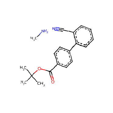 CC(C)(C)OC(=O)c1ccc(-c2ccccc2C#N)cc1.CN